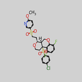 COc1ccc(S(=O)(=O)CC[C@@H]2OCC[C@@]3(S(=O)(=O)c4ccc(Cl)cc4)c4c(F)ccc(F)c4OC[C@@H]23)cn1